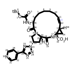 CC(C)(C)OC(=O)N[C@@H]1CCCCC/C=C\[C@@H]2C[C@]2(C(=O)O)NC(=O)[C@@H]2C[C@H](n3nnc(-c4ccncc4)n3)CN2C1=O